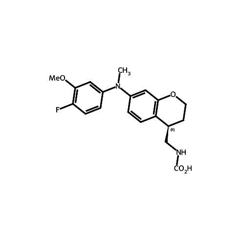 COc1cc(N(C)c2ccc3c(c2)OCC[C@H]3CNC(=O)O)ccc1F